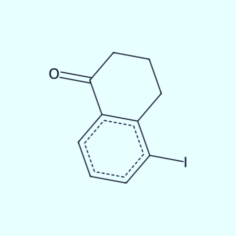 O=C1CCCc2c(I)cccc21